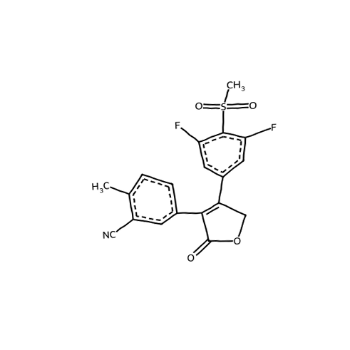 Cc1ccc(C2=C(c3cc(F)c(S(C)(=O)=O)c(F)c3)COC2=O)cc1C#N